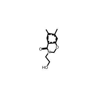 Cc1cc2c(cc1C)C(=O)N(CCO)CO2